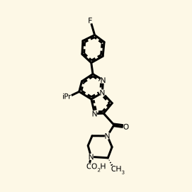 CC(C)c1cc(-c2ccc(F)cc2)nn2cc(C(=O)N3CCN(C(=O)O)[C@@H](C)C3)nc12